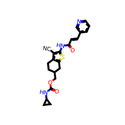 N#Cc1c(NC(=O)/C=C/c2cccnc2)sc2c1CCC(COC(=O)NC1CC1)C2